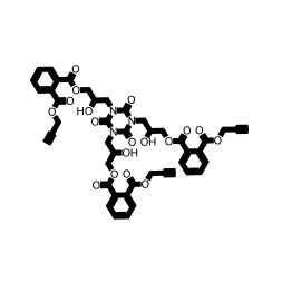 C#CCOC(=O)c1ccccc1C(=O)OCC(O)Cn1c(=O)n(CC(O)COC(=O)c2ccccc2C(=O)OCC#C)c(=O)n(CC(O)COC(=O)c2ccccc2C(=O)OCC#C)c1=O